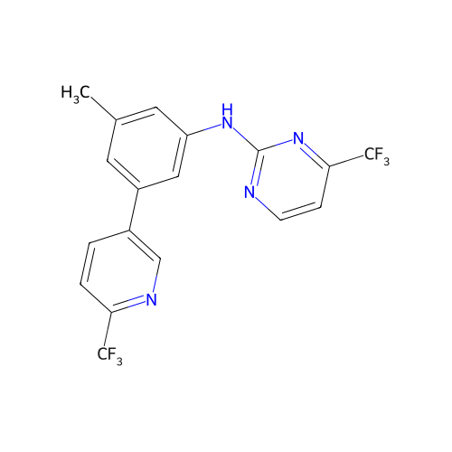 Cc1cc(Nc2nccc(C(F)(F)F)n2)cc(-c2ccc(C(F)(F)F)nc2)c1